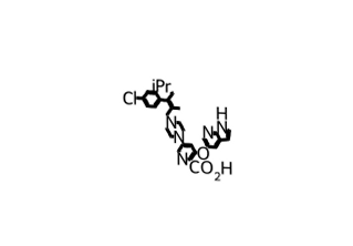 C/C(CN1CCN(c2cnc(C(=O)O)c(Oc3cnc4[nH]ccc4c3)c2)CC1)=C(\CC(C)C)c1ccc(Cl)cc1